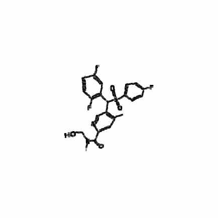 Cc1cc(C(=O)N(C)CO)ncc1C(c1cc(F)ccc1F)S(=O)(=O)c1ccc(F)cc1